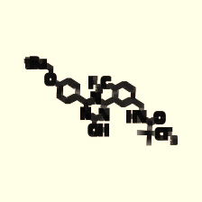 CC(C)(C)COc1ccc(-c2nc(O)nc(-c3cc(CNC(=O)C(C)(C)C(F)(F)F)ccc3C(F)(F)F)n2)cc1